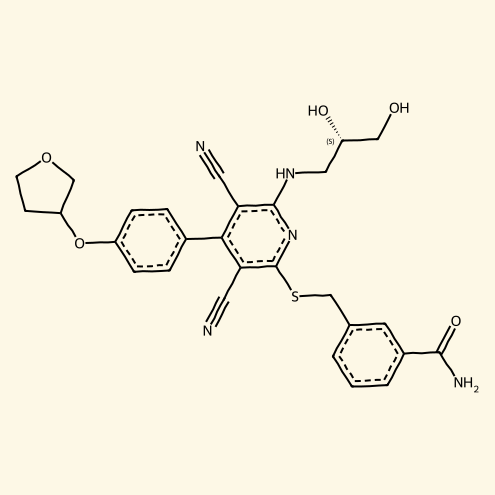 N#Cc1c(NC[C@H](O)CO)nc(SCc2cccc(C(N)=O)c2)c(C#N)c1-c1ccc(OC2CCOC2)cc1